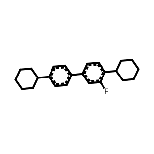 Fc1cc(-c2ccc(C3CCCCC3)cc2)ccc1C1CCCCC1